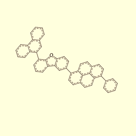 c1ccc(-c2ccc3ccc4c(-c5ccc6oc7c(-c8cc9ccccc9c9ccccc89)cccc7c6c5)ccc5ccc2c3c54)cc1